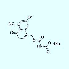 CC(C)(C)OC(=O)NC(=O)OCC1=CCC(=O)c2c(C#N)cc(Br)cc21